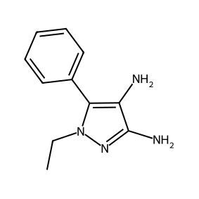 CCn1nc(N)c(N)c1-c1ccccc1